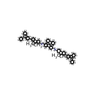 CC1(C)c2cc(/C=C/c3ccc4c(c3)C3(c5ccccc5-c5ccccc53)c3cc(/C=C/c5ccc6c(c5)C(C)(C)c5cc(-c7ccc8c(c7)c7ccccc7n8-c7ccccc7)ccc5-6)ccc3-4)ccc2-c2ccc(-c3ccc4c(c3)c3ccccc3n4-c3ccccc3)cc21